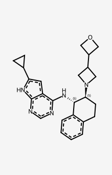 c1ccc2c(c1)CC[C@H](N1CC(C3COC3)C1)[C@H]2Nc1ncnc2[nH]c(C3CC3)cc12